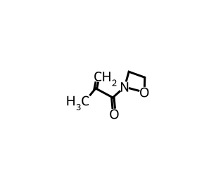 C=C(C)C(=O)N1CCO1